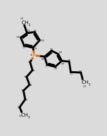 CCCCCCCCP(c1ccc(C)cc1)c1ccc(CCCC)cc1